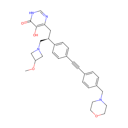 COC1CN(C[C@@H](Cc2nc[nH]c(=O)c2O)c2ccc(C#Cc3ccc(CN4CCOCC4)cc3)cc2)C1